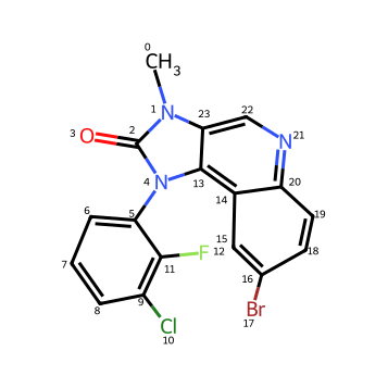 Cn1c(=O)n(-c2cccc(Cl)c2F)c2c3cc(Br)ccc3ncc21